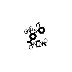 C=C(C(=O)N1CCN(C(C)=O)CC1)c1ccc(Sc2ccccc2OC)c([N+](=O)[O-])c1